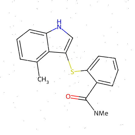 CNC(=O)c1ccccc1Sc1c[nH]c2cccc(C)c12